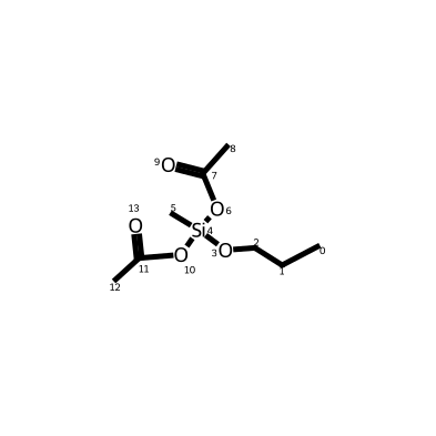 CCCO[Si](C)(OC(C)=O)OC(C)=O